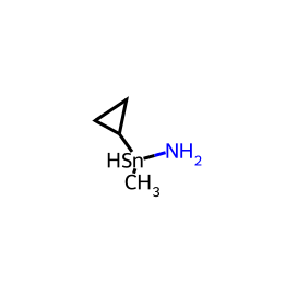 [CH3][SnH]([NH2])[CH]1CC1